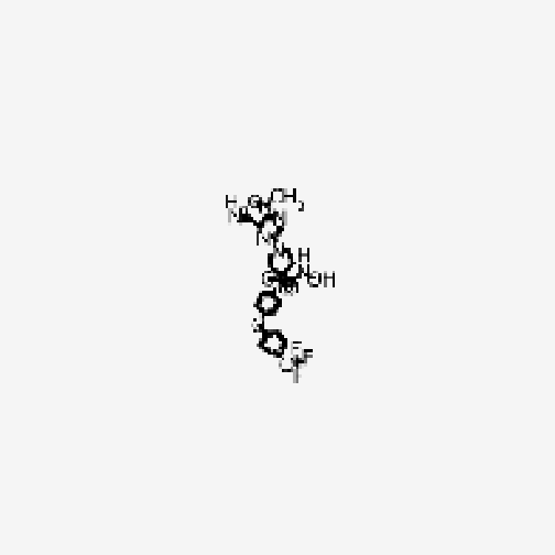 CN(C)c1ncc(N2CCC(C(=O)NO)(S(=O)(=O)c3ccc(Oc4ccc(OC(F)(F)F)cc4)cc3)CC2)nc1C#N